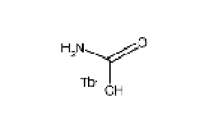 NC(=O)O.[Tb]